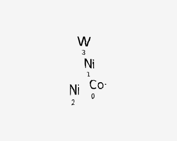 [Co].[Ni].[Ni].[W]